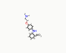 CN(C)CCOc1ccc(Nc2ccccc2[N+](=O)[O-])cc1